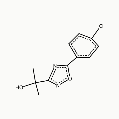 CC(C)(O)c1noc(-c2ccc(Cl)cc2)n1